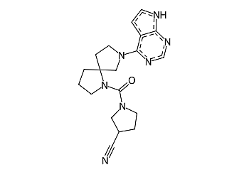 N#CC1CCN(C(=O)N2CCCC23CCN(c2ncnc4[nH]ccc24)C3)C1